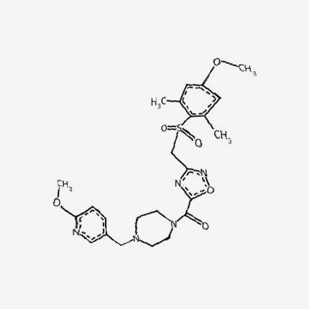 COc1cc(C)c(S(=O)(=O)Cc2noc(C(=O)N3CCN(Cc4ccc(OC)nc4)CC3)n2)c(C)c1